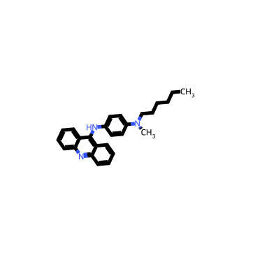 CCCCCCN(C)c1ccc(Nc2c3ccccc3nc3ccccc23)cc1